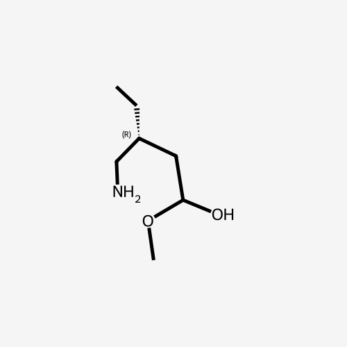 CC[C@@H](CN)CC(O)OC